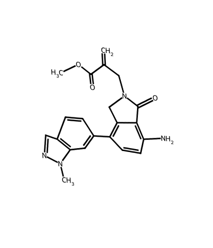 C=C(CN1Cc2c(-c3ccc4cnn(C)c4c3)ccc(N)c2C1=O)C(=O)OC